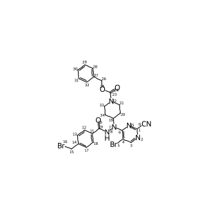 N#Cc1ncc(Br)c(N(NC(=O)c2ccc(CBr)cc2)C2CCN(C(=O)OCc3ccccc3)CC2)n1